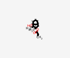 C=CC(=O)OC1(C)CC2CCCC(O)(C2)C1C